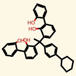 CC(c1ccc(C2CCCCC2)cc1)(c1cccc(-c2ccccc2O)c1O)c1cccc(-c2ccccc2O)c1O